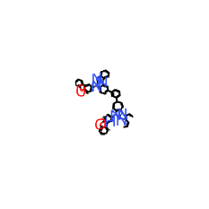 C=CC1=C(/C=C\C)NC2N1C1=C(C=CC(c3cccc(-c4ccc5c(c4)n4c6ccccc6nc4n5-c4ccc5oc6ccccc6c5c4)c3)C=C1)N2c1ccc2oc3ccccc3c2c1